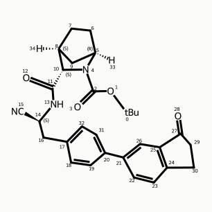 CC(C)(C)OC(=O)N1[C@@H]2CC[C@@H](C2)[C@H]1C(=O)N[C@H](C#N)Cc1ccc(-c2ccc3c(c2)C(=O)CC3)cc1